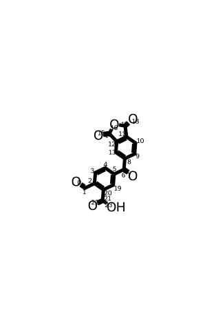 O=Cc1ccc(C(=O)c2ccc3c(c2)C(=O)OC3=O)cc1C(=O)O